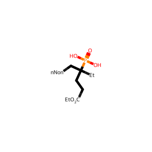 CCCCCCCCCCC(CC)(CCC(=O)OCC)P(=O)(O)O